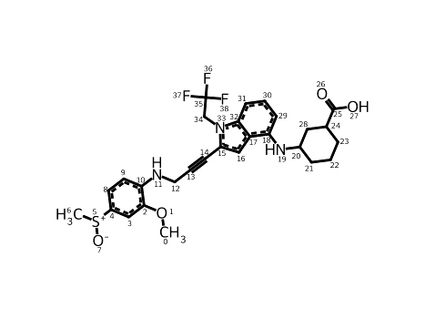 COc1cc([S+](C)[O-])ccc1NCC#Cc1cc2c(NC3CCCC(C(=O)O)C3)cccc2n1CC(F)(F)F